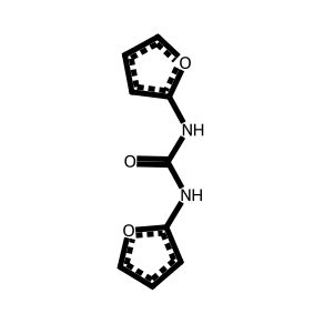 O=C(Nc1ccco1)Nc1ccco1